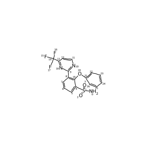 NS(=O)(=O)c1cccc(-c2nccc(C(F)(F)F)n2)c1Oc1ccccc1